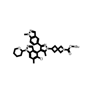 Cc1cc2c(cnn2C2CCCCO2)c(-c2c(-c3ccc4c(cnn4C)c3)nn(C3CC4(C3)CN(C(=O)OC(C)(C)C)C4)c2C)c1Cl